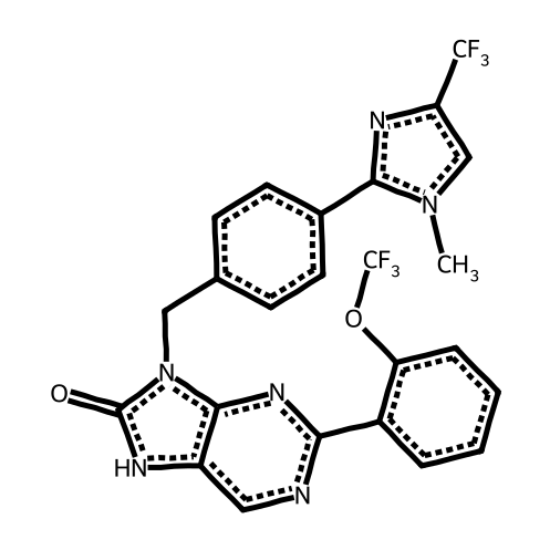 Cn1cc(C(F)(F)F)nc1-c1ccc(Cn2c(=O)[nH]c3cnc(-c4ccccc4OC(F)(F)F)nc32)cc1